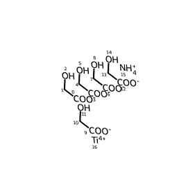 O=C([O-])CO.O=C([O-])CO.O=C([O-])CO.O=C([O-])CO.O=C([O-])CO.[NH4+].[Ti+4]